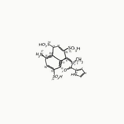 C[N+](C(=O)c1ccc[nH]1)=C1C(S(=O)(=O)O)=CC(S(=O)(=O)O)c2c(N)cc(S(=O)(=O)O)cc21